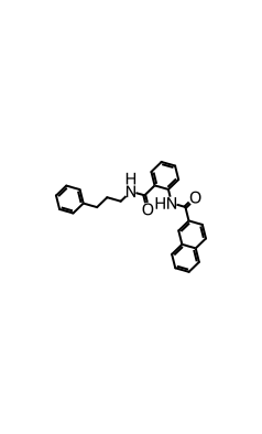 O=C(Nc1ccccc1C(=O)NCCCc1ccccc1)c1ccc2ccccc2c1